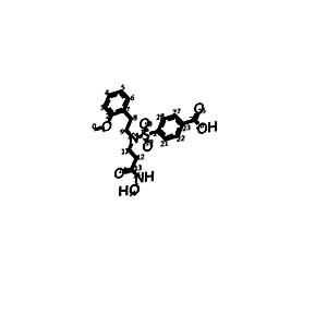 COc1ccccc1CCN(CCC(=O)NO)S(=O)(=O)c1ccc(C(=O)O)cc1